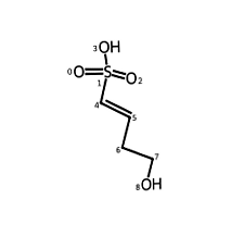 O=S(=O)(O)C=CCCO